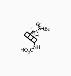 C[C@H](N[S@@+]([O-])C(C)(C)C)C12C3C4C1C1C2C3C41NC(=O)O